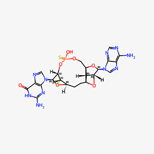 Nc1nc2c(ncn2[C@@H]2O[C@@H]3CCC45O[C@@H]6[C@H]4C5(COP(O)(=S)O[C@@H]2[C@H]3F)O[C@H]6n2cnc3c(N)ncnc32)c(=O)[nH]1